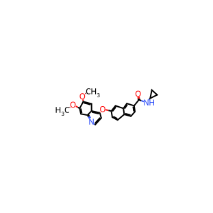 COc1cc2nccc(Oc3ccc4ccc(C(=O)NC5CC5)cc4c3)c2cc1OC